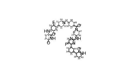 O=C1CCC(Nc2ccc(C3CCN(CC4CCC(C(=O)N5CCC(Nc6ncc(F)c(-c7cccc(-c8ccc[nH]c8=O)c7)n6)CC5)CC4)CC3)c(F)c2)C(=O)N1